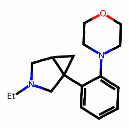 CCN1CC2CC2(c2ccccc2N2CCOCC2)C1